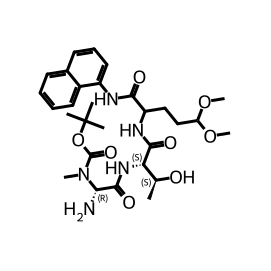 COC(CCC(NC(=O)[C@@H](NC(=O)[C@H](N)N(C)C(=O)OC(C)(C)C)[C@H](C)O)C(=O)Nc1cccc2ccccc12)OC